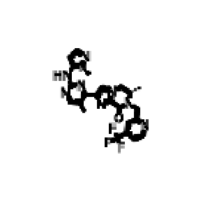 Cc1cnc(Nc2ccnn2C)nc1-c1cn2c(n1)C(=O)N(Cc1cc(C(F)(F)F)ccn1)[C@@H](C)C2